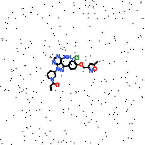 C=CC(=O)N1CCC[C@@H](n2nc(-c3ccc(OCc4cc(C)on4)c(Cl)c3)c3c(N)ncnc32)C1